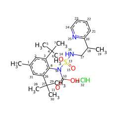 Cc1cc(C(C)(C)C)c(N(C(=O)O)S(=O)(=O)NCC(C)c2ccccn2)c(C(C)(C)C)c1.Cl